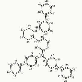 C1=CC(N(c2ccc(-c3ccccc3)cc2)c2ccc(-c3ccccc3)cc2)CC(C2CCCCC2)=C1c1ccc(-c2ccccc2)cc1